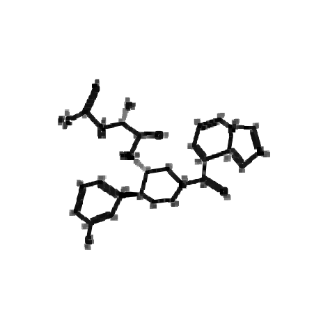 CC(C)[C@@H](NC(=O)C(F)(F)F)C(=O)N[C@@H]1CN(C(=O)c2cccn3cncc23)CC[C@H]1c1cccc(Cl)c1